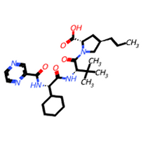 CCC[C@@H]1C[C@@H](C(=O)O)N(C(=O)[C@@H](NC(=O)[C@@H](NC(=O)c2cnccn2)C2CCCCC2)C(C)(C)C)C1